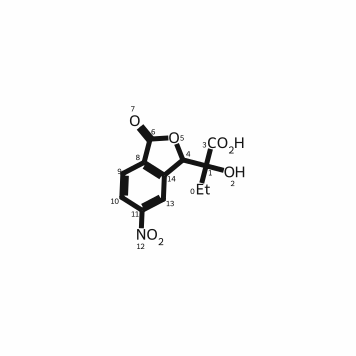 CCC(O)(C(=O)O)C1OC(=O)c2ccc([N+](=O)[O-])cc21